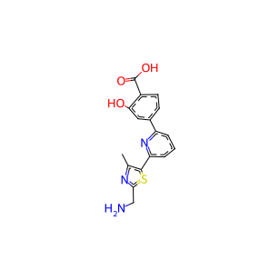 Cc1nc(CN)sc1-c1cccc(-c2ccc(C(=O)O)c(O)c2)n1